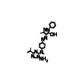 C=C(C)C1=NC(N(C)c2ccc(N=Nc3c(C)nn(-c4ccccc4)c3O)cc2)N(N)C=N1